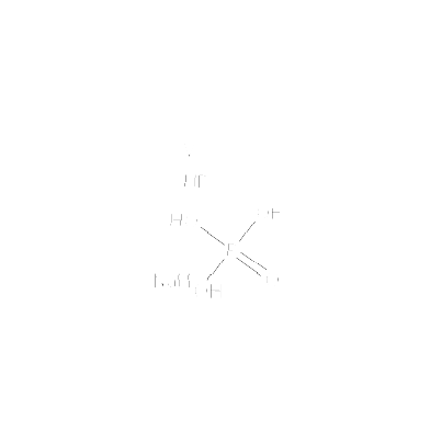 F.O=P(O)(O)O.[NaH].[V]